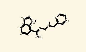 NC(=NCNCc1cnccn1)c1ccnc2nc[nH]c12